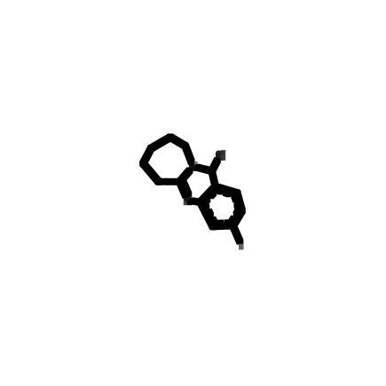 ClC1c2ccc(I)cc2N=C2CCCCCN21